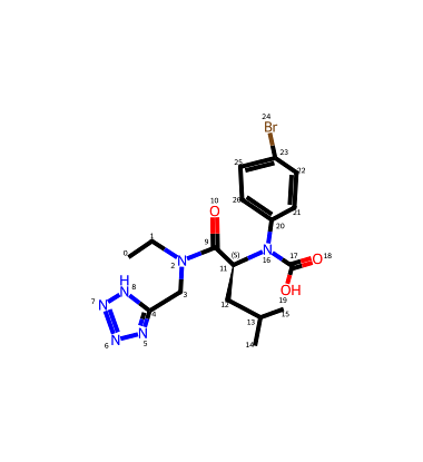 CCN(Cc1nnn[nH]1)C(=O)[C@H](CC(C)C)N(C(=O)O)c1ccc(Br)cc1